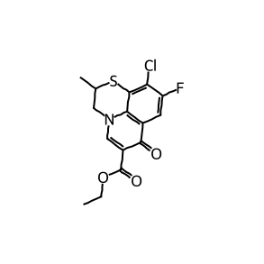 CCOC(=O)c1cn2c3c(c(Cl)c(F)cc3c1=O)SC(C)C2